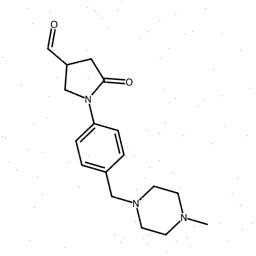 CN1CCN(Cc2ccc(N3CC(C=O)CC3=O)cc2)CC1